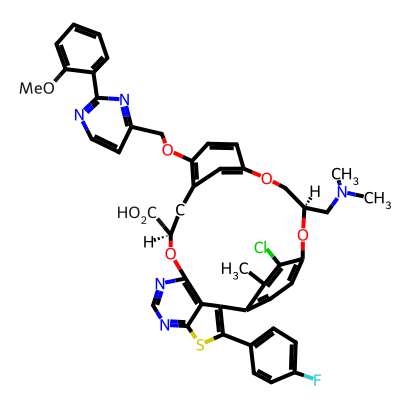 COc1ccccc1-c1nccc(COc2ccc3cc2C[C@H](C(=O)O)Oc2ncnc4sc(-c5ccc(F)cc5)c(c24)-c2ccc(c(Cl)c2C)O[C@H](CN(C)C)CO3)n1